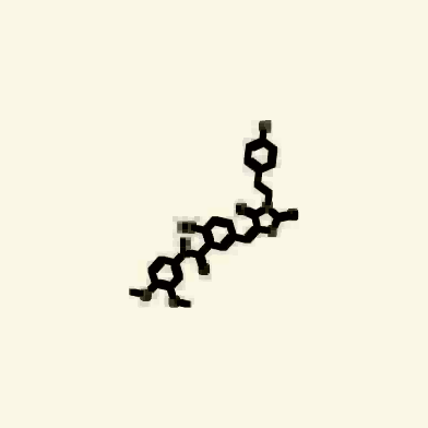 COc1ccc(NC(=O)c2cc(/C=C3/SC(=O)N(CCc4ccc(Cl)cc4)C3=O)ccc2O)cc1OC